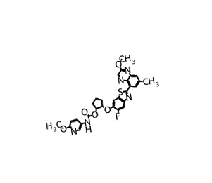 COc1ccc(NC(=O)OC2CCCC2Oc2cc3sc(-c4cc(C)cc5nc(OC)cnc45)nc3cc2F)cn1